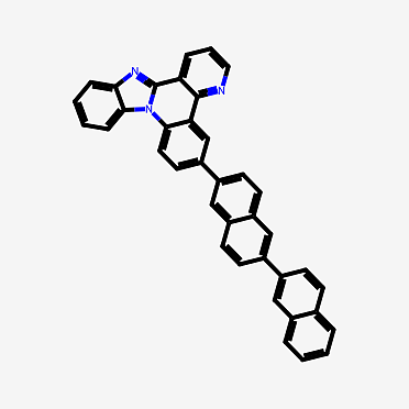 c1ccc2cc(-c3ccc4cc(-c5ccc6c(c5)c5ncccc5c5nc7ccccc7n65)ccc4c3)ccc2c1